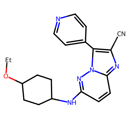 CCOC1CCC(Nc2ccc3nc(C#N)c(-c4ccncc4)n3n2)CC1